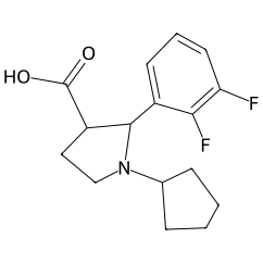 O=C(O)C1CCN(C2CCCC2)C1c1cccc(F)c1F